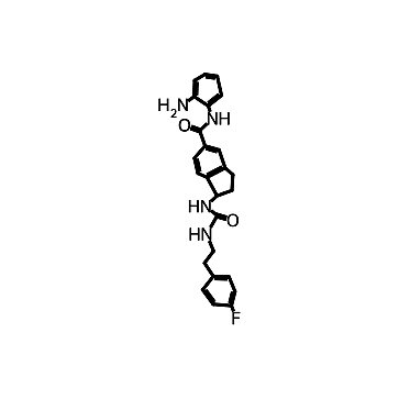 Nc1ccccc1NC(=O)c1ccc2c(c1)CCC2NC(=O)NCCc1ccc(F)cc1